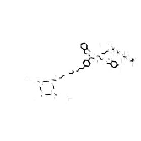 CCC(=O)NCCNC(=O)/N=C(/N)NCCC[C@@H](NC(=O)C(c1ccc(CCCOCCOCCNC(=O)CN2CCN(CC(=O)O)CCN(CC(=O)O)CCN(CC(=O)O)CC2)cc1)N1Cc2ccccc2C1)C(=O)NCc1c(F)cc(O)cc1F